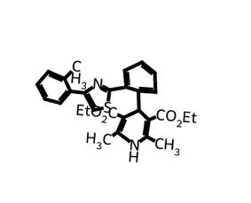 CCOC(=O)C1=C(C)NC(C)=C(C(=O)OCC)C1c1ccccc1-c1nc(-c2ccccc2C)cs1